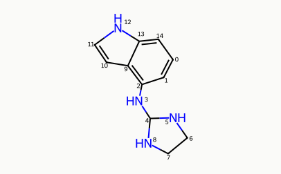 c1cc(NC2NCCN2)c2cc[nH]c2c1